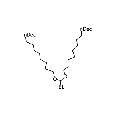 [CH2]CC(OCCCCCCCCCCCCCCCCCC)OCCCCCCCCCCCCCCCCCC